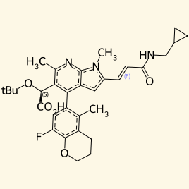 Cc1nc2c(cc(/C=C/C(=O)NCC3CC3)n2C)c(-c2cc(F)c3c(c2C)CCCO3)c1[C@H](OC(C)(C)C)C(=O)O